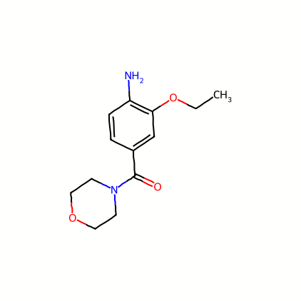 CCOc1cc(C(=O)N2CCOCC2)ccc1N